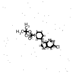 CC(C)(C)OC(=O)N1CCC[C@@H](n2cnc3cc(Cl)nnc32)C1